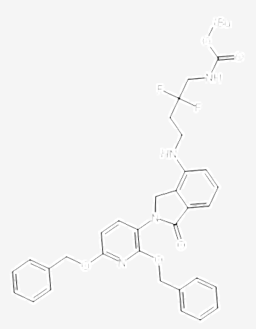 CC(C)(C)OC(=O)NCC(F)(F)CCNc1cccc2c1CN(c1ccc(OCc3ccccc3)nc1OCc1ccccc1)C2=O